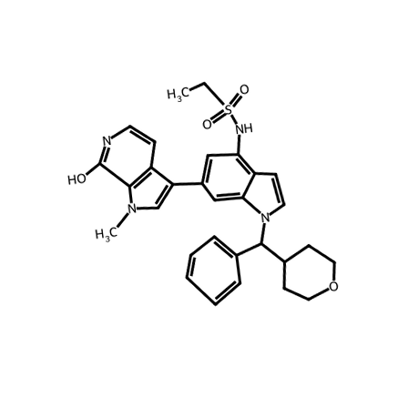 CCS(=O)(=O)Nc1cc(-c2cn(C)c3c(O)nccc23)cc2c1ccn2C(c1ccccc1)C1CCOCC1